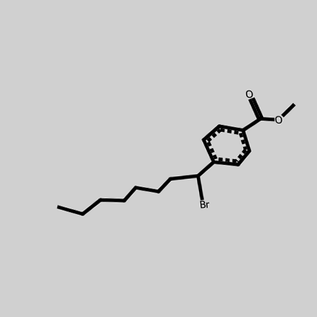 CCCCCCCC(Br)c1ccc(C(=O)OC)cc1